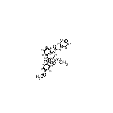 COC(=O)C1CN(C(=O)CN2CCOCC2)c2ccccc2CN1S(=O)(=O)c1ccc(OC)cc1